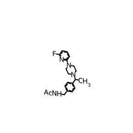 CC(=O)NCc1ccc(C(C)N2CCN(c3cccc(F)n3)CC2)cc1